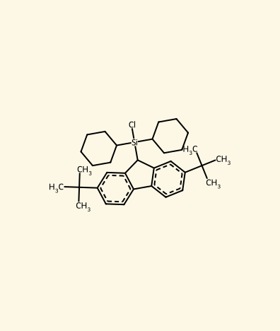 CC(C)(C)c1ccc2c(c1)C([Si](Cl)(C1CCCCC1)C1CCCCC1)c1cc(C(C)(C)C)ccc1-2